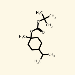 C[C](C)C1CCC(C)(OC(=O)OC(C)(C)C)CC1